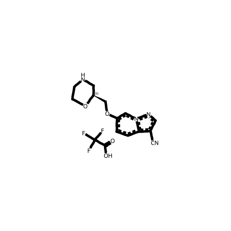 N#Cc1cnn2cc(OC[C@@H]3CNCCO3)ccc12.O=C(O)C(F)(F)F